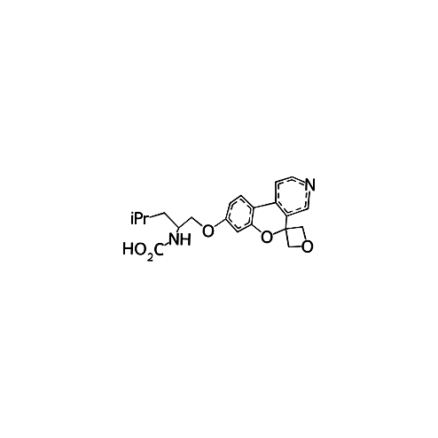 CC(C)CC(COc1ccc2c(c1)OC1(COC1)c1cnccc1-2)NC(=O)O